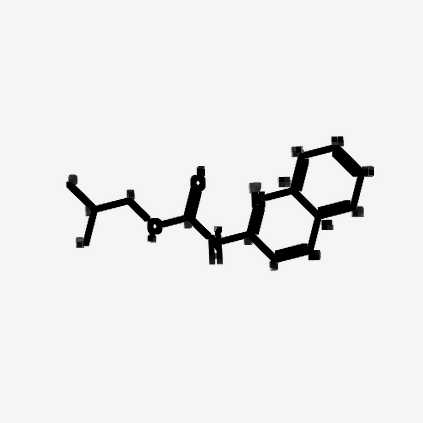 CC(C)COC(=O)Nc1ccc2ccccc2n1